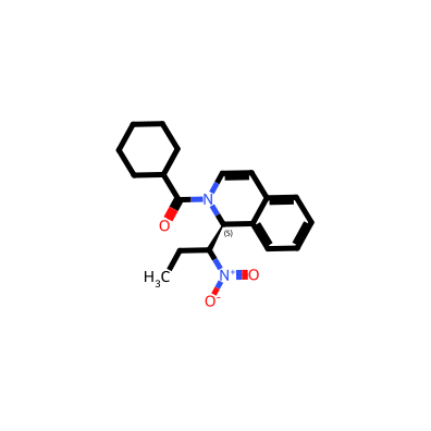 CCC([C@@H]1c2ccccc2C=CN1C(=O)C1CCCCC1)[N+](=O)[O-]